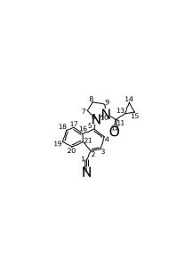 N#Cc1ccc(N2CCCN2C(=O)C2CC2)c2ccccc12